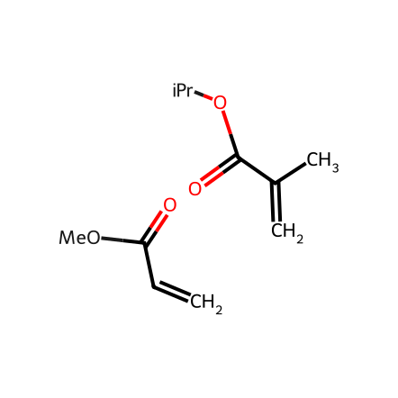 C=C(C)C(=O)OC(C)C.C=CC(=O)OC